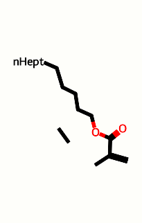 C=C(C)C(=O)OCCCCCCCCCCCC.CC